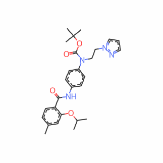 Cc1ccc(C(=O)Nc2ccc(N(CCn3cccn3)C(=O)OC(C)(C)C)cc2)c(OC(C)C)c1